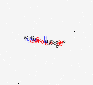 COc1ccc(NC(=O)COCCOCCNC(=O)CCOC2CCC3C4CCc5cc(OP(=O)(OCc6ccccc6)OCc6ccccc6)ccc5C4CCC23C)c(O)c1C(N)=O